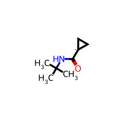 CC(C)(C)NC(=O)[C]1CC1